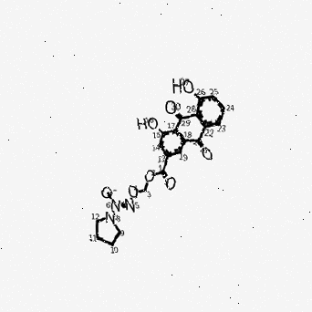 O=C(OCON=[N+]([O-])N1CCCC1)c1cc(O)c2c(c1)C(=O)c1cccc(O)c1C2=O